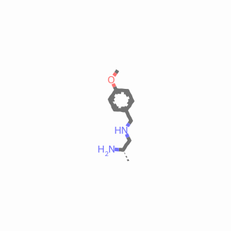 COc1ccc(CNC[C@H](C)N)cc1